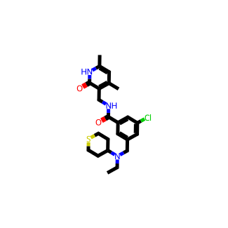 CCN(Cc1cc(Cl)cc(C(=O)NCc2c(C)cc(C)[nH]c2=O)c1)C1CCSCC1